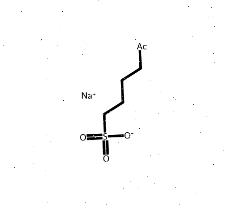 CC(=O)CCCCS(=O)(=O)[O-].[Na+]